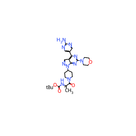 C[C@@H](NC(=O)OC(C)(C)C)C(=O)N1CCC(n2ncc3c(-c4cnc(N)nc4)nc(N4CCOCC4)nc32)CC1